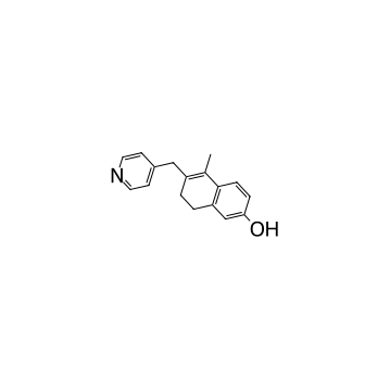 CC1=C(Cc2ccncc2)CCc2cc(O)ccc21